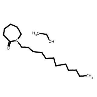 CCCCCCCCCCCCN1CCCCCC1=O.CCO